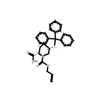 C=CCOC(=O)N1C[C@@H](SC(c2ccccc2)(c2ccccc2)c2ccccc2)CC[C@H]1C(=O)OC